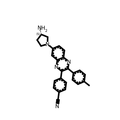 Cc1ccc(-c2nc3ccc(N4CC[C@H](N)C4)cc3nc2-c2ccc(C#N)cc2)cc1